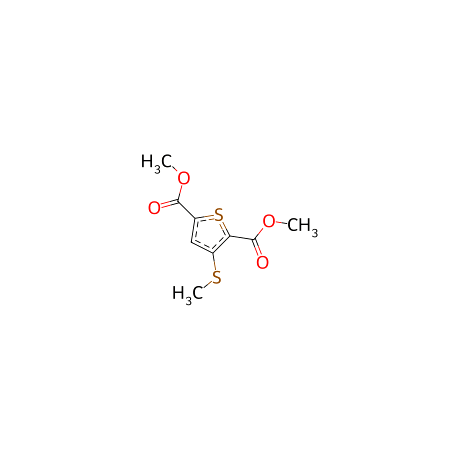 COC(=O)c1cc(SC)c(C(=O)OC)s1